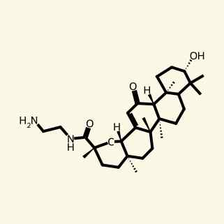 CC1(C)C2CC[C@]3(C)[C@H](C(=O)C=C4[C@H]5C[C@@](C)(C(=O)NCCN)CC[C@]5(C)CC[C@]43C)[C@@]2(C)CC[C@@H]1O